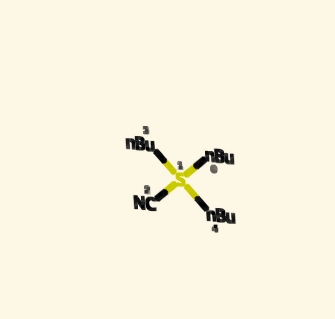 CCCCS(C#N)(CCCC)CCCC